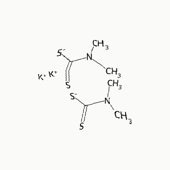 CN(C)C(=S)[S-].CN(C)C(=S)[S-].[K+].[K+]